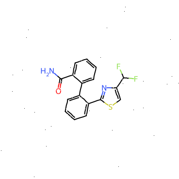 NC(=O)c1ccccc1-c1ccccc1-c1nc(C(F)F)cs1